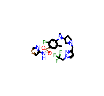 Cc1cc(S(=O)(=O)Nc2cscn2)c(F)cc1N(C)C1CCN(Cc2ccn(CC(F)(F)F)n2)C1